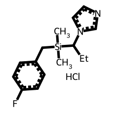 CCC(n1ccnc1)[Si](C)(C)Cc1ccc(F)cc1.Cl